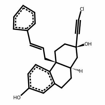 Oc1ccc2c(c1)CC[C@@H]1C[C@@](O)(C#CCl)CC[C@@]21C/C=C/c1ccccc1